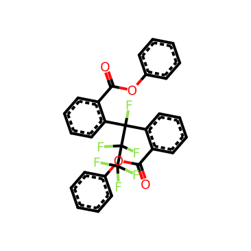 O=C(Oc1ccccc1)c1ccccc1C(F)(c1ccccc1C(=O)Oc1ccccc1)C(F)(F)C(F)(F)F